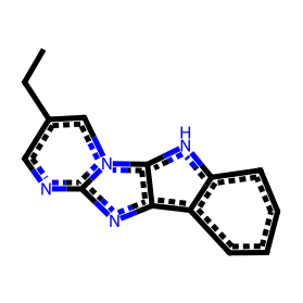 CCc1cnc2nc3c4ccccc4[nH]c3n2c1